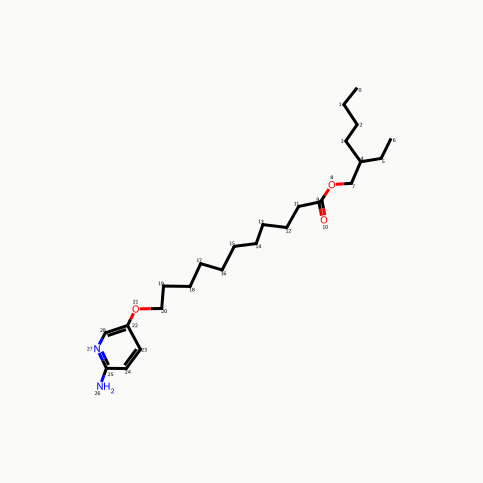 CCCCC(CC)COC(=O)CCCCCCCCCCOc1ccc(N)nc1